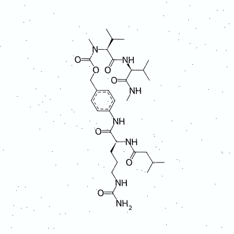 CNC(=O)[C@@H](NC(=O)[C@H](C(C)C)N(C)C(=O)OCc1ccc(NC(=O)[C@H](CCCNC(N)=O)NC(=O)CC(C)C)cc1)C(C)C